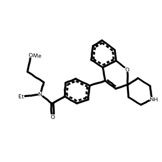 CCN(CCOC)C(=O)c1ccc(C2=CC3(CCNCC3)Oc3ccccc32)cc1